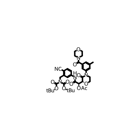 CC(=O)O[C@@H](C(=O)Nc1ccc(C#N)c(CN(C(=O)OC(C)(C)C)C(=O)OC(C)(C)C)c1)[C@H]1OCCN(c2cc(C)cc(C(=O)N3CCOCC3)c2)C1=O